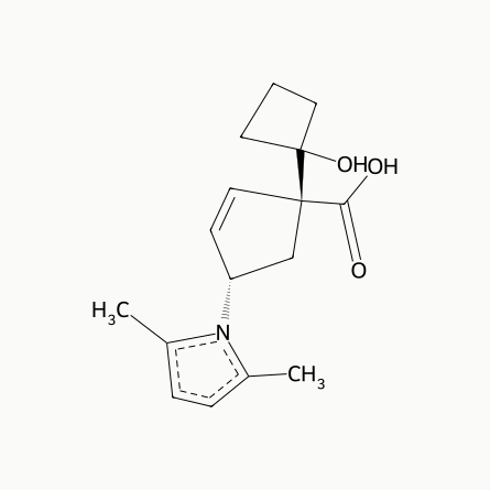 Cc1ccc(C)n1[C@@H]1C=C[C@@](C(=O)O)(C2(O)CCC2)C1